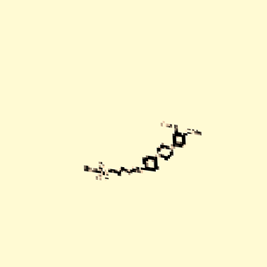 COc1ccc(N2CCN(c3ccc(NCCCCCNS(=O)(=O)C(C)(C)C)cc3)CC2)cc1OC